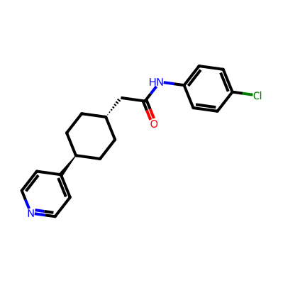 O=C(C[C@H]1CC[C@H](c2ccncc2)CC1)Nc1ccc(Cl)cc1